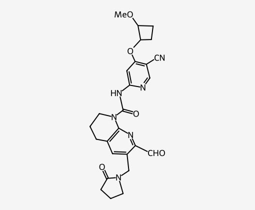 COC1CCC1Oc1cc(NC(=O)N2CCCc3cc(CN4CCCC4=O)c(C=O)nc32)ncc1C#N